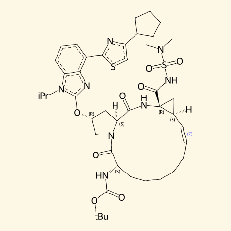 CC(C)n1c(O[C@@H]2C[C@H]3C(=O)N[C@]4(C(=O)NS(=O)(=O)N(C)C)C[C@H]4/C=C\CCCCC[C@H](NC(=O)OC(C)(C)C)C(=O)N3C2)nc2c(-c3nc(C4CCCC4)cs3)cccc21